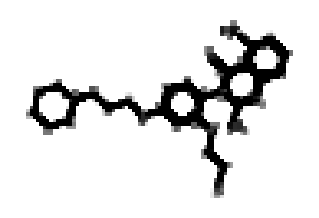 Cc1cccc2nc(C)n(-c3ccc(OCCCN4CCCCC4)cc3OCCF)c(=O)c12